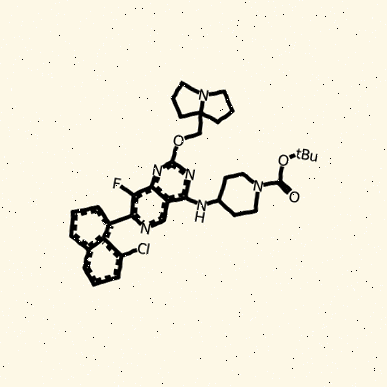 CC(C)(C)OC(=O)N1CCC(Nc2nc(OCC34CCCN3CCC4)nc3c(F)c(-c4cccc5cccc(Cl)c45)ncc23)CC1